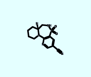 N#Cc1cnc2c(c1)S(=O)(=O)NC[C@H]1CCCCN21